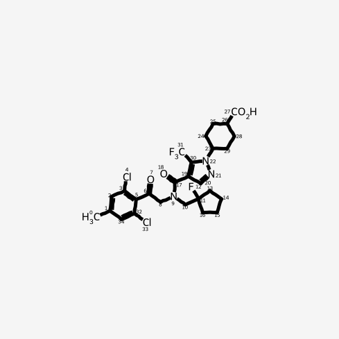 Cc1cc(Cl)c(C(=O)CN(CC2(F)CCCC2)C(=O)c2cnn(C3CCC(C(=O)O)CC3)c2C(F)(F)F)c(Cl)c1